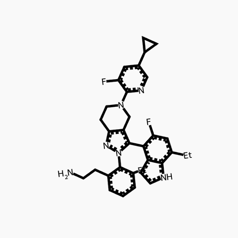 CCc1cccc(CCN)c1-n1nc2c(c1-c1c(F)cc(CC)c3[nH]ccc13)CN(c1ncc(C3CC3)cc1F)CC2